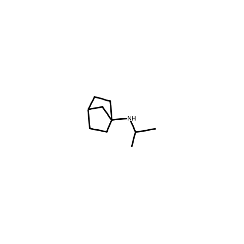 CC(C)NC12CCC(CC1)C2